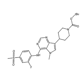 Cn1cc(C2CCN(C(=O)OC(C)(C)C)CC2)c2ncnc(Nc3ccc(S(C)(=O)=O)cc3F)c21